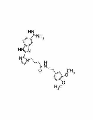 COc1ccc(CCNC(=O)CCCn2ccnc2-c2nc3cc(C(=N)N)ccc3[nH]2)cc1OC